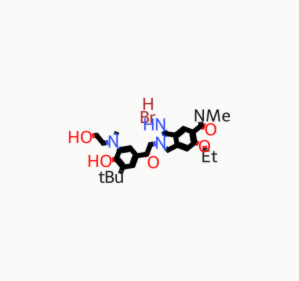 Br.CCOc1cc2c(cc1C(=O)NC)C(=N)N(CC(=O)c1cc(N(C)CCO)c(O)c(C(C)(C)C)c1)C2